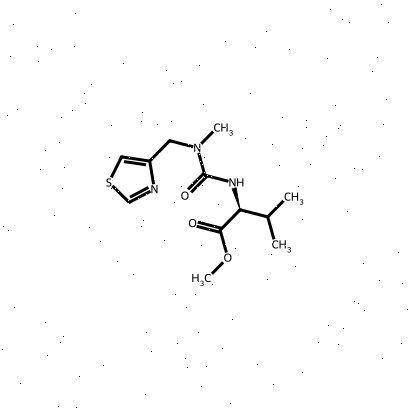 COC(=O)[C@@H](NC(=O)N(C)Cc1cscn1)C(C)C